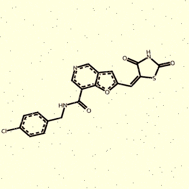 O=C1NC(=O)/C(=C\c2cc3cncc(C(=O)NCc4ccc(Cl)cc4)c3o2)S1